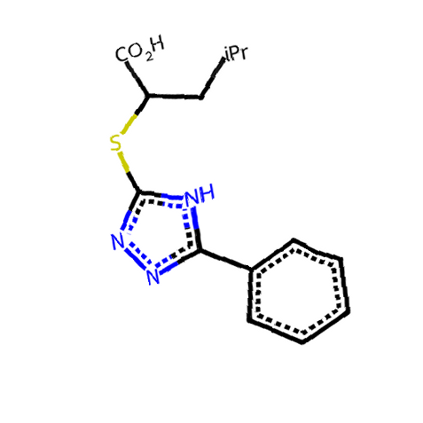 CC(C)CC(Sc1nnc(-c2ccccc2)[nH]1)C(=O)O